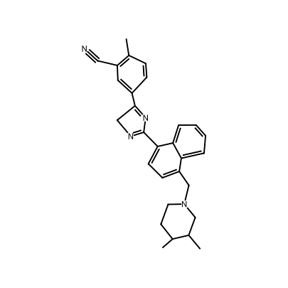 Cc1ccc(C2=NC(c3ccc(CN4CCC(C)C(C)C4)c4ccccc34)=NC2)cc1C#N